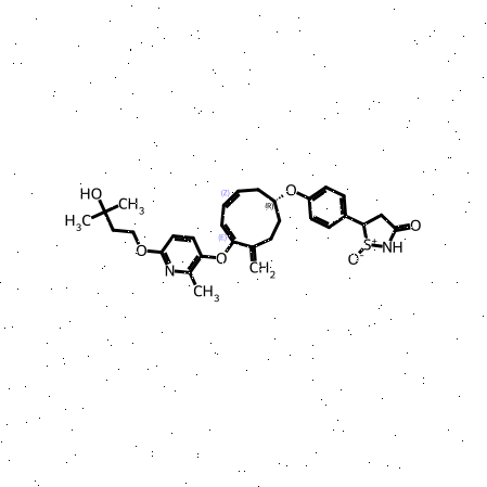 C=C1CC[C@@H](Oc2ccc(C3CC(=O)N[S+]3[O-])cc2)C/C=C\C=C/1Oc1ccc(OCCC(C)(C)O)nc1C